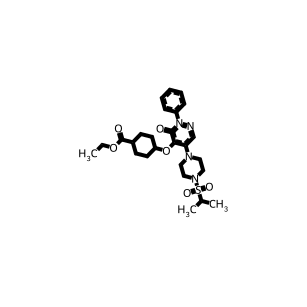 CCOC(=O)C1CCC(Oc2c(N3CCN(S(=O)(=O)C(C)C)CC3)cnn(-c3ccccc3)c2=O)CC1